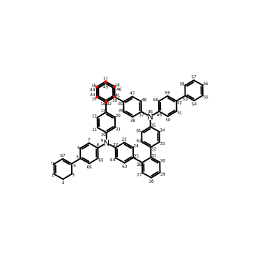 C1=CCCC(c2ccc(N(c3ccc(-c4ccccc4)cc3)c3ccc(-c4ccccc4-c4ccc(N(c5ccc(-c6ccccc6)cc5)c5ccc(-c6ccccc6)cc5)cc4)cc3)cc2)=C1